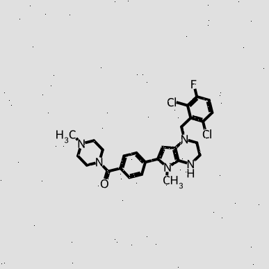 CN1CCN(C(=O)c2ccc(-c3cc4c(n3C)NCCN4Cc3c(Cl)ccc(F)c3Cl)cc2)CC1